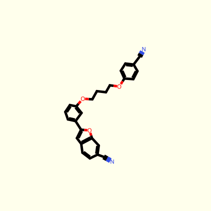 N#Cc1ccc(OCCCCOc2cccc(-c3cc4ccc(C#N)cc4o3)c2)cc1